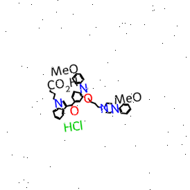 COc1ccc(N(C)c2ccc(C(=O)c3cn(CCCC(=O)O)c4ccccc34)cc2OCCCN2CCN(c3ccccc3OC)CC2)cc1.Cl